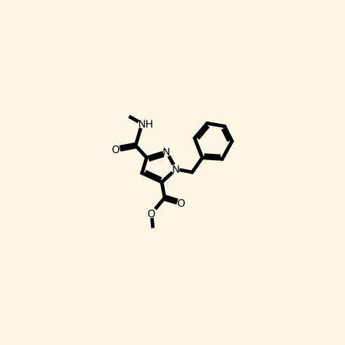 CNC(=O)c1cc(C(=O)OC)n(Cc2ccccc2)n1